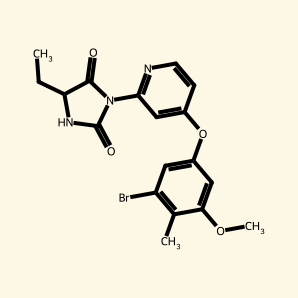 CCC1NC(=O)N(c2cc(Oc3cc(Br)c(C)c(OC)c3)ccn2)C1=O